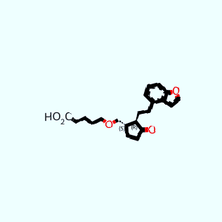 O=C(O)CCCCOC[C@H]1CCC(=O)[C@@H]1CCc1cccc2occc12